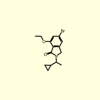 CCOc1cc(Br)cc2c1C(=O)N(C(C)C1CC1)C2